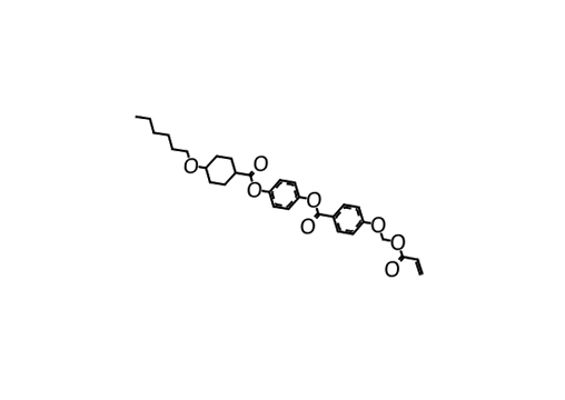 C=CC(=O)OCOc1ccc(C(=O)Oc2ccc(OC(=O)C3CCC(OCCCCCC)CC3)cc2)cc1